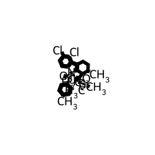 Cc1ccc(S(=O)(=O)n2c3c(c4c(Cl)c(Cl)ccc42)CCC(C)C3(O[Si](C)(C)C)C(F)(F)F)cc1